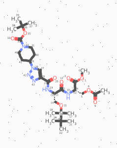 COC(=O)[C@H](COC(C)=O)NC(=O)[C@H](CO[Si](C)(C)C(C)(C)C)NC(=O)c1cn(C2CCN(C(=O)OC(C)(C)C)CC2)nn1